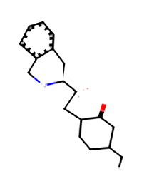 CCC1CCC(C[C@@H](O)[C@@H]2Cc3ccccc3CN2)C(=O)C1